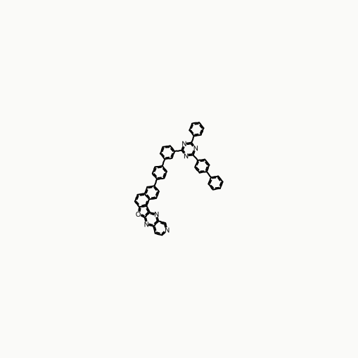 c1ccc(-c2ccc(-c3nc(-c4ccccc4)nc(-c4cccc(-c5ccc(-c6ccc7c(ccc8oc9nc%10ccncc%10nc9c87)c6)cc5)c4)n3)cc2)cc1